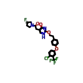 O=C(Cc1c[nH]c(OCCc2ccc(Oc3ccc(Cl)c(C(F)(F)F)c3)cc2)nc1=O)N1CC[C@H](F)C1